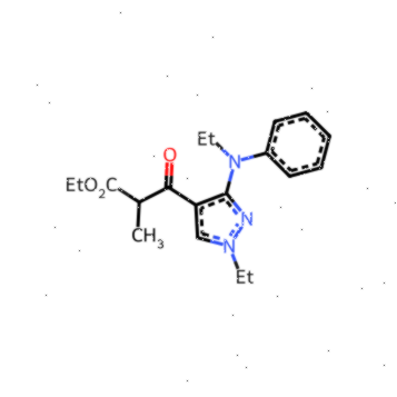 CCOC(=O)C(C)C(=O)c1cn(CC)nc1N(CC)c1ccccc1